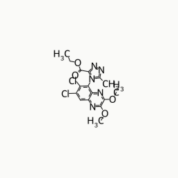 CCOC(=O)c1nnc(C)n1-c1c(Cl)c(Cl)cc2nc(OC)c(OC)nc12